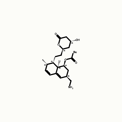 CCC(C)C(=O)O[C@H]1C[C@@H](CN)C=C2C=C[C@H](C)[C@H](CC[C@@H]3C[C@@H](O)CC(=O)O3)[C@H]21